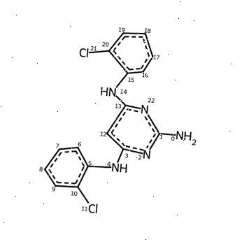 Nc1nc(Nc2ccccc2Cl)cc(Nc2ccccc2Cl)n1